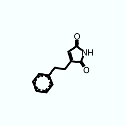 O=C1C=C(CCc2ccccc2)C(=O)N1